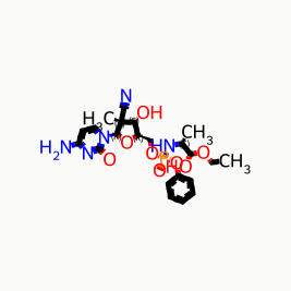 CCOC(O)[C@H](C)NP(=O)(OC[C@H]1O[C@@H](n2ccc(N)nc2=O)[C@](C)(C#N)[C@@H]1O)Oc1ccccc1